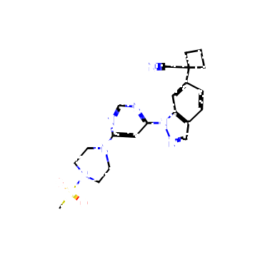 CS(=O)(=O)N1CCN(c2cc(-n3ncc4ccc(C5(C#N)CCC5)cc43)ncn2)CC1